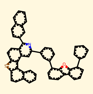 c1ccc(-c2cccc3c2oc2c(-c4cccc(-c5cc6c(ccc7sc8ccc9ccccc9c8c76)c(-c6ccc7ccccc7c6)n5)c4)cccc23)cc1